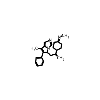 C=C(CC1C(c2ccccc2)=C(C)c2cncn21)C1CCC(=NC)CC1